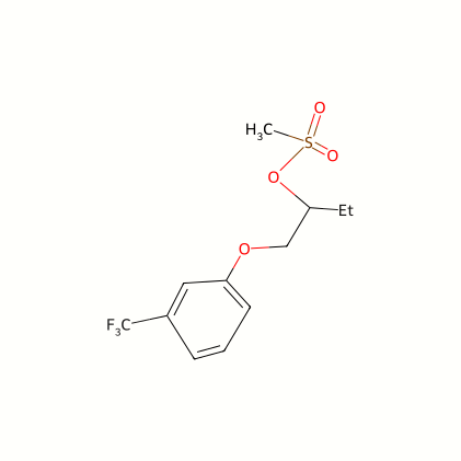 CCC(COc1cccc(C(F)(F)F)c1)OS(C)(=O)=O